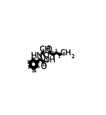 C=CCCC(=O)OC(C)NC(C(=O)O)c1ccccc1